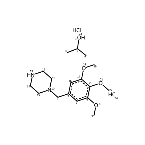 CC(C)O.COc1cc(CN2CCNCC2)cc(OC)c1OC.Cl.Cl